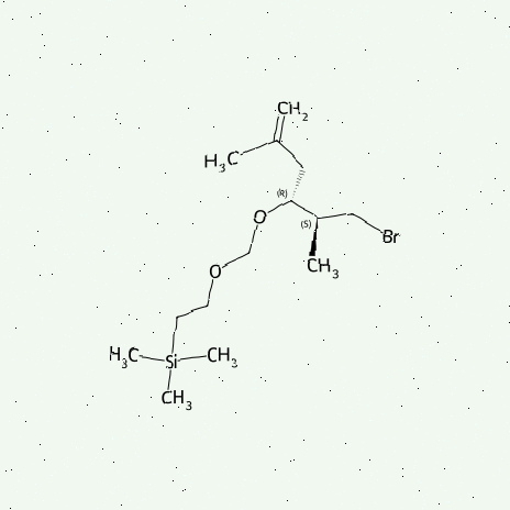 C=C(C)C[C@@H](OCOCC[Si](C)(C)C)[C@H](C)CBr